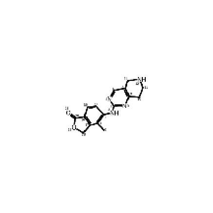 Cc1c(Nc2ncc3c(n2)CCNC3)ccc2c1COC2=O